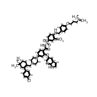 CN(C)CCCOc1ccc(CNc2ccc(S(=O)(=O)NC(=O)c3ccc(N4CCN(CC5=C(c6ccc(Cl)cc6)CC(C)(C)CC5)CC4)cc3Oc3cnc4[nH]ccc4c3)cc2[N+](=O)[O-])cc1